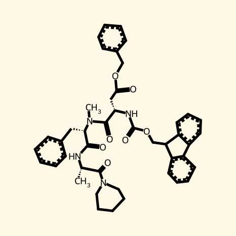 C[C@H](NC(=O)[C@H](Cc1ccccc1)N(C)C(=O)[C@H](CC(=O)OCc1ccccc1)NC(=O)OCC1c2ccccc2-c2ccccc21)C(=O)N1CCCCC1